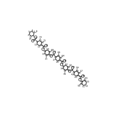 Cc1cccc(C)c1OC(=O)c1ccc(C(=O)Oc2cc(C)c(OC(=O)c3ccc(C(=O)Oc4cc(C)c(OC(=O)c5ccc(C(=O)Oc6c(C)cccc6C)c(C)c5C)c(C)c4)c(C)c3C)c(C)c2)c(C)c1C